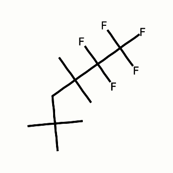 CC(C)(C)CC(C)(C)C(F)(F)C(F)(F)F